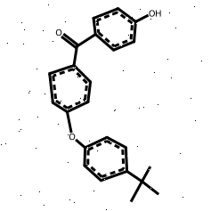 CC(C)(C)c1ccc(Oc2ccc(C(=O)c3ccc(O)cc3)cc2)cc1